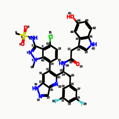 Cn1nc(NS(C)(=O)=O)c2c(Cl)ccc(-c3cc4[nH]ncc4nc3[C@H](Cc3cc(F)cc(F)c3)NC(=O)Cc3c[nH]c4ccc(O)cc34)c21